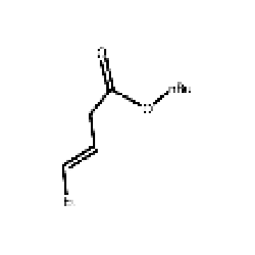 CCC=CCC(=O)OCCCC